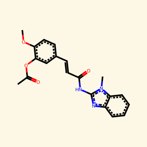 COc1ccc(/C=C/C(=O)Nc2nc3ccccc3n2C)cc1OC(C)=O